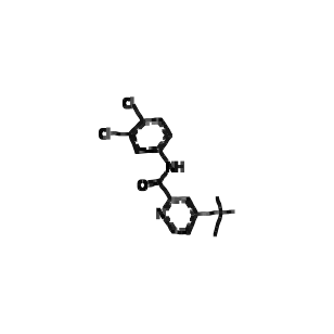 CC(C)(C)c1ccnc(C(=O)Nc2ccc(Cl)c(Cl)c2)c1